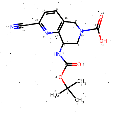 CC(C)(C)OC(=O)NC1CN(C(=O)O)Cc2ccc(C#N)nc21